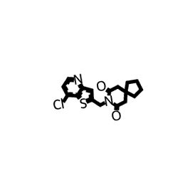 O=C1CC2(CCCC2)CC(=O)N1Cc1cc2nccc(Cl)c2s1